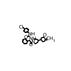 CN1CCC(C2CCN(C(=O)C(NC(=O)Nc3ccc(Cl)cc3)c3ccccc3)CC2)CC1=O